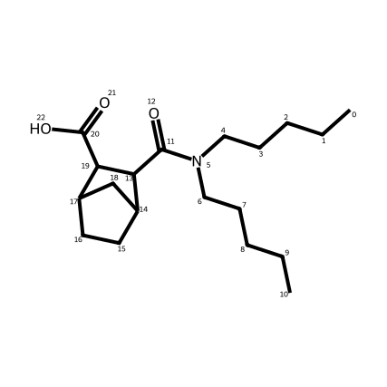 CCCCCN(CCCCC)C(=O)C1C2CCC(C2)C1C(=O)O